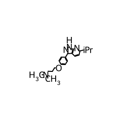 CC(C)c1ccc2c(-c3ccc(OCCCN(C)C)cc3)n[nH]c2n1